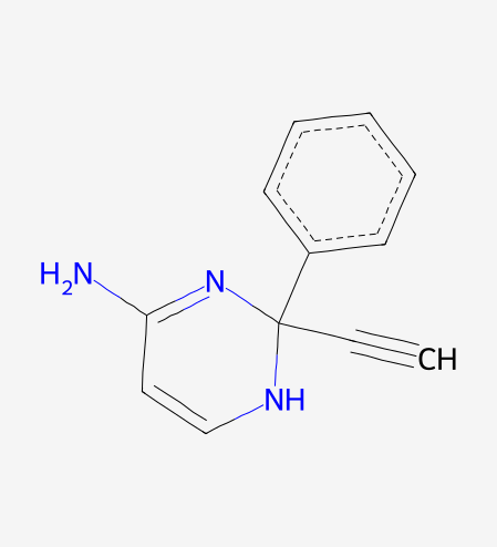 C#CC1(c2ccccc2)N=C(N)C=CN1